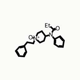 CCC(=O)N(c1ccccc1)C1CC[N+]([O-])(CCc2ccccc2)CC1